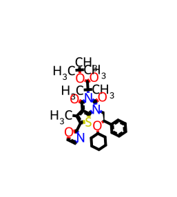 Cc1c(-c2ncco2)sc2c1c(=O)n(C(C)(C)C(=O)OC(C)(C)C)c(=O)n2C[C@H](OC1CCCCC1)c1ccccc1